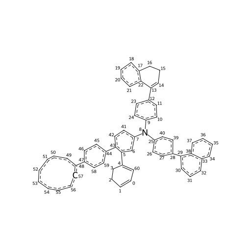 C1=CCCC(c2cc(N(c3ccc(C4=CCCc5ccccc54)cc3)c3ccc(-c4cccc5ccccc45)cc3)ccc2-c2ccc(-c3ccccccccc3)cc2)=C1